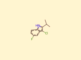 CC(C)c1[nH]c2ccc(F)cc2c1Cl